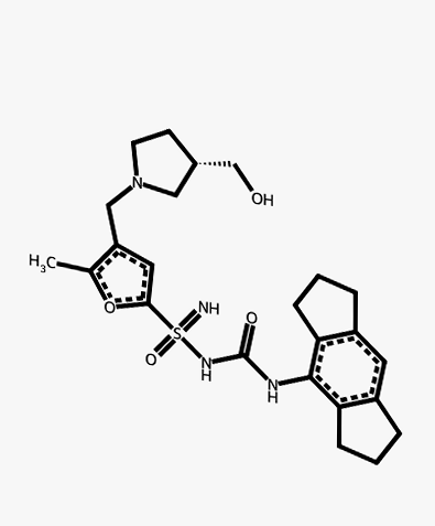 Cc1oc(S(=N)(=O)NC(=O)Nc2c3c(cc4c2CCC4)CCC3)cc1CN1CC[C@H](CO)C1